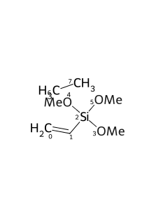 C=C[Si](OC)(OC)OC.CC